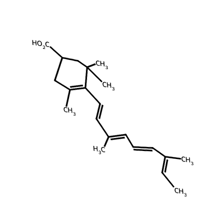 CC=C(C)C=CC=C(C)C=CC1=C(C)CC(C(=O)O)CC1(C)C